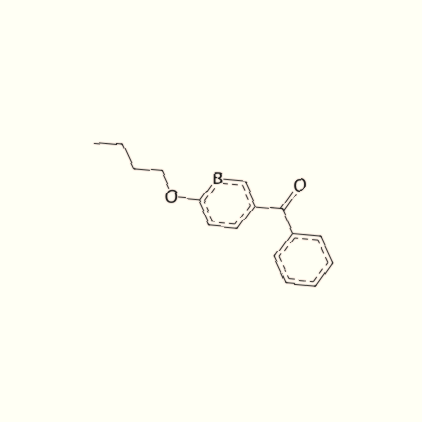 CCCCOc1bcc(C(=O)c2ccccc2)cc1